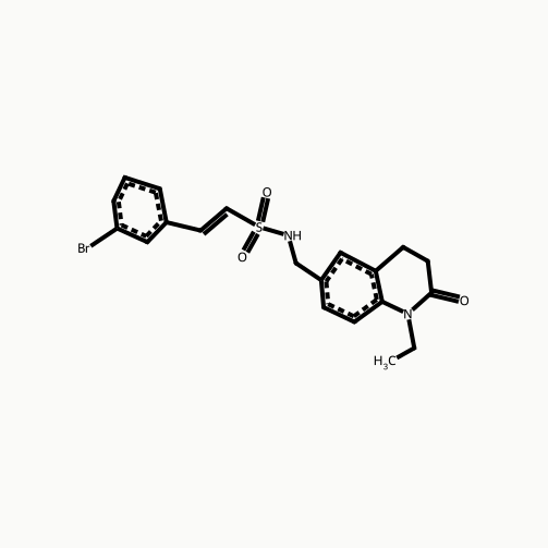 CCN1C(=O)CCc2cc(CNS(=O)(=O)C=Cc3cccc(Br)c3)ccc21